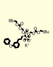 CC(C)(C)COC(=O)OCOP(=O)(OCOC(=O)OCC(C)(C)C)[C@H](CCCc1cccc(Oc2ccccc2)c1)S(=O)(=O)[O-].[K+]